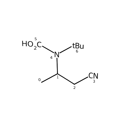 CC(CC#N)N(C(=O)O)C(C)(C)C